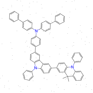 CC1(C)c2ccccc2N(c2ccccc2)c2ccc(-c3ccc4c(c3)c3cc(-c5ccc(N(c6ccc(-c7ccccc7)cc6)c6ccc(-c7ccccc7)cc6)cc5)ccc3n4-c3ccccc3)cc21